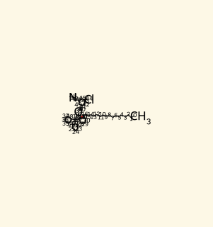 CCCCCCCCCCCCCCCCCCC(CC(c1ccccc1)(c1ccccc1)c1ccccc1)OCc1cc(Cl)cc(C#N)c1